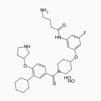 Cl.Cl.NCCCC(=O)Nc1cc(F)cc(OC2CCN(C(=O)c3ccc(OC4CCNC4)c(C4CCCCC4)c3)CC2)c1